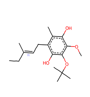 CC/C(C)=C/Cc1c(C)c(O)c(OC)c(OC(C)(C)C)c1O